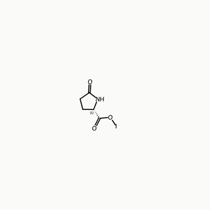 O=C1CC[C@@H](C(=O)OI)N1